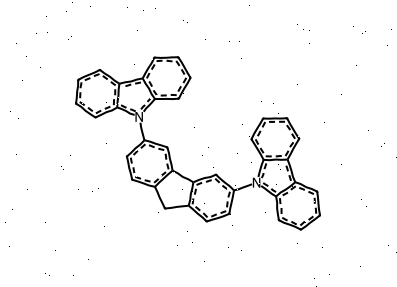 c1ccc2c(c1)c1ccccc1n2-c1ccc2c(c1)-c1cc(-n3c4ccccc4c4ccccc43)ccc1C2